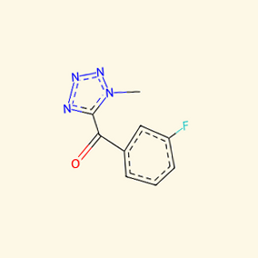 Cn1nnnc1C(=O)c1cccc(F)c1